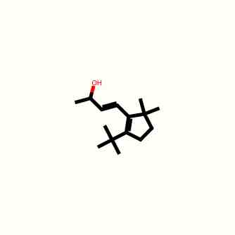 CC(O)/C=C/C1=C(C(C)(C)C)CCC1(C)C